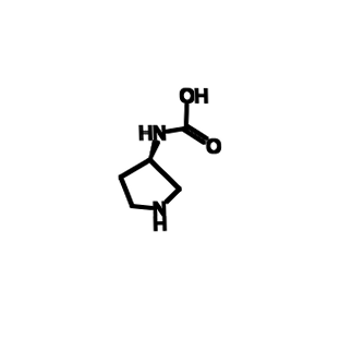 O=C(O)N[C@@H]1CCNC1